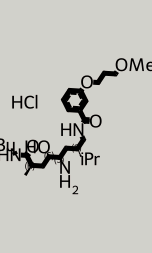 CCCCNC(=O)[C@H](C)C[C@H](O)[C@@H](N)C[C@H](CNC(=O)c1cccc(OCCCOC)c1)C(C)C.Cl